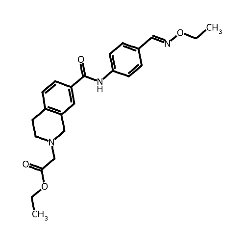 CCO/N=C/c1ccc(NC(=O)c2ccc3c(c2)CN(CC(=O)OCC)CC3)cc1